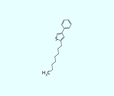 CCCCCCCCc1cc(-c2ccccc2)cs1